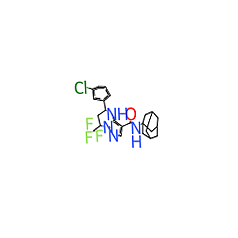 O=C(NC12CC3CC(CC(C3)C1)C2)c1cnn2c1NC(c1cccc(Cl)c1)CC2C(F)(F)F